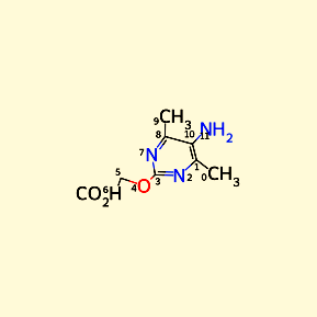 Cc1nc(OCC(=O)O)nc(C)c1N